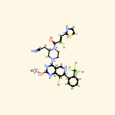 COc1nc(N2CCN(C(=O)/C(F)=C/c3nccs3)C(CC#N)C2)c2cnc(-c3ccccc3C(F)(F)F)c(F)c2n1